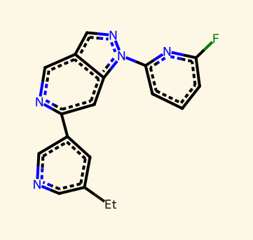 CCc1cncc(-c2cc3c(cn2)cnn3-c2cccc(F)n2)c1